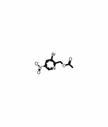 CC(=O)OCc1ncc([N+](=O)[O-])cc1Br